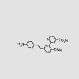 COc1ccc(C=Cc2ccc(N)cc2)cc1-c1cc(C(=O)O)ccn1